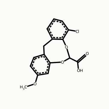 COc1ccc2c(c1)OC(C(=O)O)Oc1c(Cl)cccc1C2